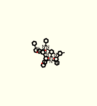 Cc1ccc2c(c1)c1cc(C)ccc1n2-c1ccc(-c2nc(-c3ccccc3)nc(-c3ccccc3)n2)c(-n2c3ccc(-c4ccccc4)cc3c3cc(-c4cccc(-c5ccccc5)n4)ccc32)c1-c1nc(-c2ccccc2)nc(-c2ccccc2)n1